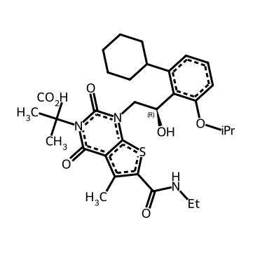 CCNC(=O)c1sc2c(c1C)c(=O)n(C(C)(C)C(=O)O)c(=O)n2C[C@H](O)c1c(OC(C)C)cccc1C1CCCCC1